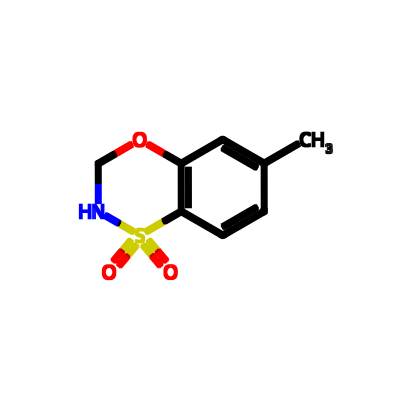 Cc1ccc2c(c1)OCNS2(=O)=O